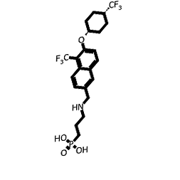 O=P(O)(O)CCCNCc1ccc2c(C(F)(F)F)c(O[C@H]3CC[C@@H](C(F)(F)F)CC3)ccc2c1